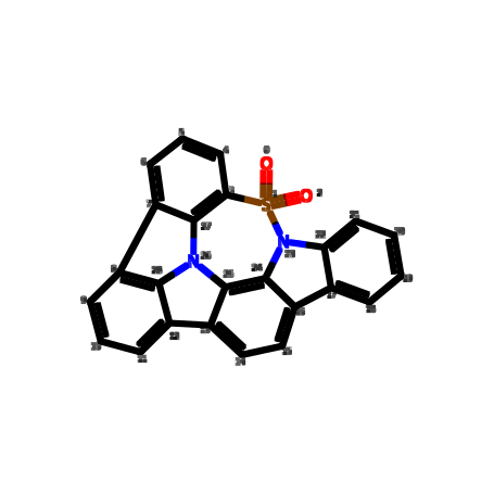 O=S1(=O)c2cccc3c4cccc5c6ccc7c8ccccc8n1c7c6n(c23)c45